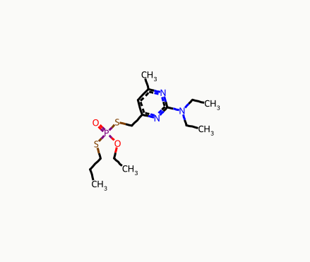 CCCSP(=O)(OCC)SCc1cc(C)nc(N(CC)CC)n1